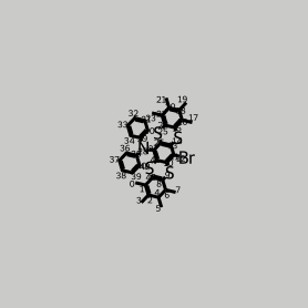 CC1=C(C)C(C)C(C)c2sc3c(Br)c4sc5c(C)c(C)c(C)c(C)c5sc4c(N(c4ccccc4)c4ccccc4)c3sc21